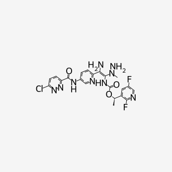 C[C@@H](OC(=O)N/C(=C(/N)c1ccc(NC(=O)c2ccc(Cl)nn2)cn1)N(C)N)c1cc(F)cnc1F